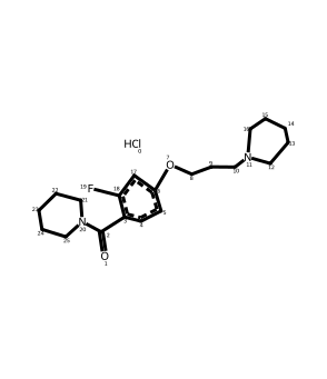 Cl.O=C(c1ccc(OCCCN2CCCCC2)cc1F)N1CCCCC1